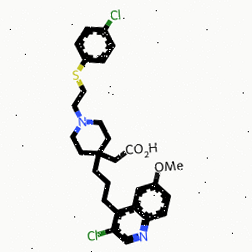 COc1ccc2ncc(Cl)c(CCCC3(CC(=O)O)CCN(CCSc4ccc(Cl)cc4)CC3)c2c1